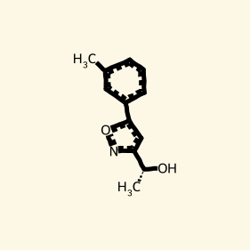 Cc1cccc(-c2cc([C@@H](C)O)no2)c1